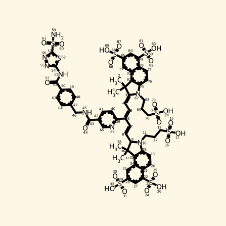 CC1(C)C(=CC=C(/C=C/C2N(CCCS(=O)(=O)O)c3ccc4c(S(=O)(=O)O)cc(S(=O)(=O)O)cc4c3C2(C)C)c2ccc(C(=O)NCc3ccc(C(=O)Nc4nnc(S(N)(=O)=O)s4)cc3)cn2)N(CCCS(=O)(=O)O)c2ccc3c(S(=O)(=O)O)cc(S(=O)(=O)O)cc3c21